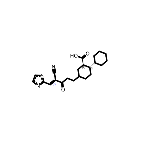 N#C/C(=C\c1nccs1)C(=O)CCC1CC[C@@H](C2CCCCC2)[C@H](C(=O)O)C1